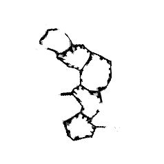 COc1cccc2c(=O)c3c(ccc4cc5c(cc43)OCO5)oc12